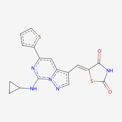 O=C1NC(=O)C(=Cc2cnn3c(NC4CC4)nc(-c4cccs4)cc23)S1